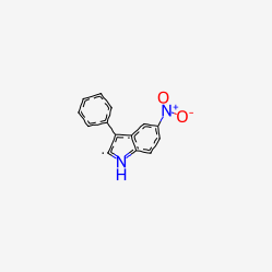 O=[N+]([O-])c1ccc2[nH][c]c(-c3ccccc3)c2c1